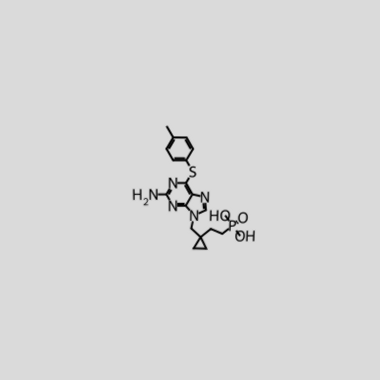 Cc1ccc(Sc2nc(N)nc3c2ncn3CC2(CCP(=O)(O)O)CC2)cc1